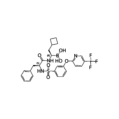 O=C(N[C@@H](CC1CCC1)B(O)O)[C@H](Cc1ccccc1)NS(=O)(=O)c1cccc(Oc2ccc(C(F)(F)F)cn2)c1